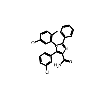 Cc1ccc(Cl)cc1-n1c(-c2ccccc2)nc(C(N)=O)c1-c1cccc(Cl)c1